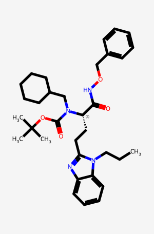 CCCn1c(CC[C@@H](C(=O)NOCc2ccccc2)N(CC2CCCCC2)C(=O)OC(C)(C)C)nc2ccccc21